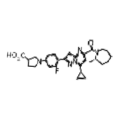 C[C@@H]1CCCCCN1C(=O)c1cc(C2CC2)n2nc(-c3ccc(N4CCC(C(=O)O)C4)cc3F)cc2n1